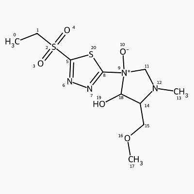 CCS(=O)(=O)c1nnc([N+]2([O-])CN(C)C(COC)C2O)s1